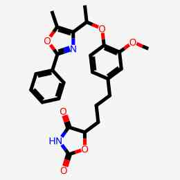 COc1cc(CCCC2OC(=O)NC2=O)ccc1OC(C)c1nc(-c2ccccc2)oc1C